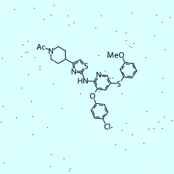 COc1cccc(Sc2cnc(Nc3nc(C4CCN(C(C)=O)CC4)cs3)c(Oc3ccc(Cl)cc3)c2)c1